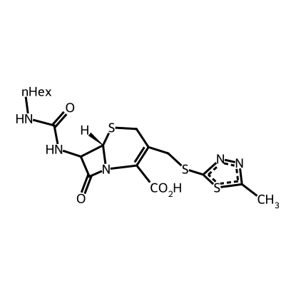 CCCCCCNC(=O)NC1C(=O)N2C(C(=O)O)=C(CSc3nnc(C)s3)CS[C@@H]12